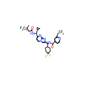 C[C@@H](CC(=O)NC(c1ccn2cc([C@@H](NC(=O)c3ccnc(CC(F)(F)F)c3)C3CCC(F)(F)CC3)nc2n1)C1CC1)C(F)(F)F